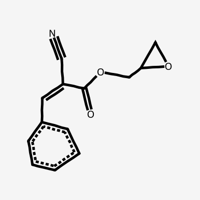 N#CC(=Cc1ccccc1)C(=O)OCC1CO1